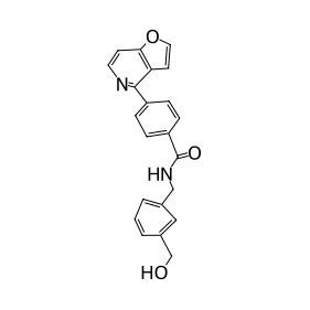 O=C(NCc1cccc(CO)c1)c1ccc(-c2nccc3occc23)cc1